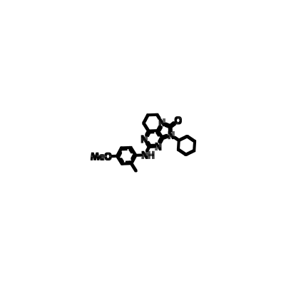 COc1ccc(Nc2nc3c4c(n2)n(C2CCCCC2)c(=O)n4CCC3)c(C)c1